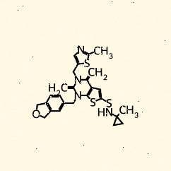 C=C1c2cc(SNC3(C)CC3)sc2N(Cc2ccc3c(c2)COC3)C(=C)N1Cc1cnc(C)s1